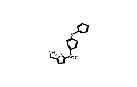 NCc1ccc([S+]([O-])c2ccc(Sc3ccccc3)cc2)s1